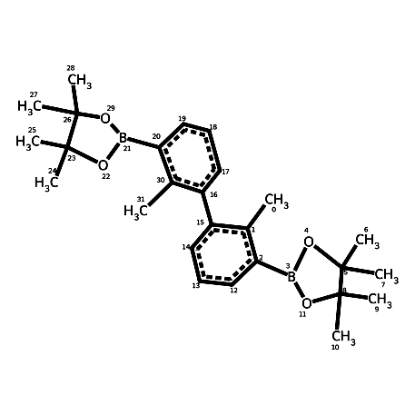 Cc1c(B2OC(C)(C)C(C)(C)O2)cccc1-c1cccc(B2OC(C)(C)C(C)(C)O2)c1C